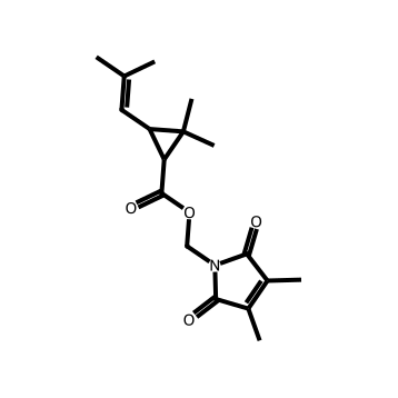 CC(C)=CC1C(C(=O)OCN2C(=O)C(C)=C(C)C2=O)C1(C)C